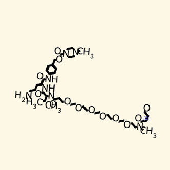 CC(C)C(NC(=O)CCOCCOCCOCCOCCOCCOCCN(C)C(=O)/C=C\C=O)C(=O)NC(CCCN)C(=O)Nc1ccc(COC(=O)N2CCN(C)CC2)cc1